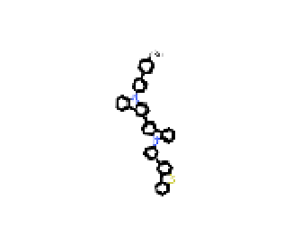 CCCCc1ccc(-c2ccc(-n3c4ccccc4c4cc(-c5ccc6c(c5)c5ccccc5n6-c5cccc(-c6ccc7sc8ccccc8c7c6)c5)ccc43)cc2)cc1